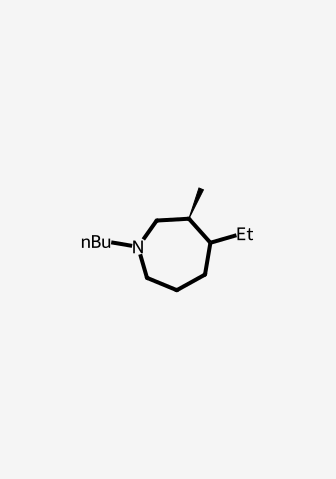 CCCCN1CCCC(CC)[C@H](C)C1